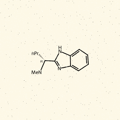 CCC[C@@H](NC)c1nc2ccccc2[nH]1